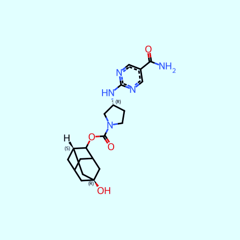 NC(=O)c1cnc(N[C@@H]2CCN(C(=O)OC3C4CC5C[C@H]3C[C@@](O)(C5)C4)C2)nc1